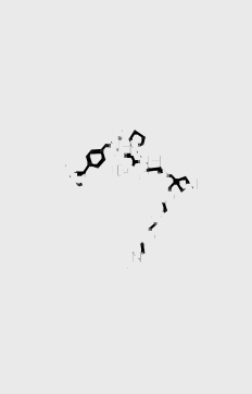 Cc1ncsc1-c1ccc(CNC(=O)[C@@H]2CCCN2C(=O)C(NC(=O)COCC2(COCCOCCOCCN)CNC2)C(C)(C)C)cc1